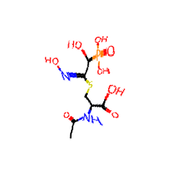 CC(=O)NC(CSC(=NO)C(O)P(=O)(O)O)C(=O)O